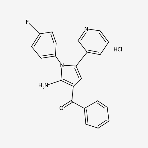 Cl.Nc1c(C(=O)c2ccccc2)cc(-c2cccnc2)n1-c1ccc(F)cc1